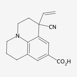 C=CC1(C#N)CCN2CCCc3cc(C(=O)O)cc1c32